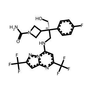 NC(=O)N1CC([C@](CO)(CNc2cc(C(F)(F)F)nc3cc(C(F)(F)F)nn23)c2ccc(F)cc2)C1